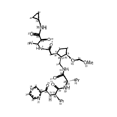 CCCC(NC(=O)C[C@H]1CC[C@@H](OCOC)[C@H]1CNC(=O)[C@@H](NC(=O)[C@H](NC(=O)c1cnccn1)C(C)C)C(C)C)C(=O)C(=O)NC1CC1